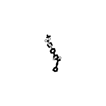 CC(C)(C)OC(=O)N1CCN(c2ccc(-c3cnc4c(C#Cc5ccccc5)coc4c3)cc2)CC1